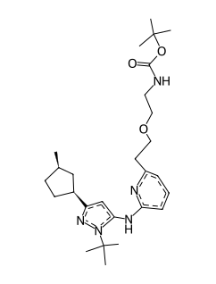 C[C@@H]1CC[C@H](c2cc(Nc3cccc(CCOCCNC(=O)OC(C)(C)C)n3)n(C(C)(C)C)n2)C1